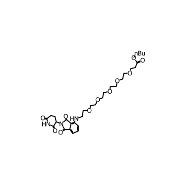 CCCCOC(=O)CCOCCOCCOCCOCCOCCNc1cccc2c1C(=O)N(C1CCC(=O)NC1=O)C2=O